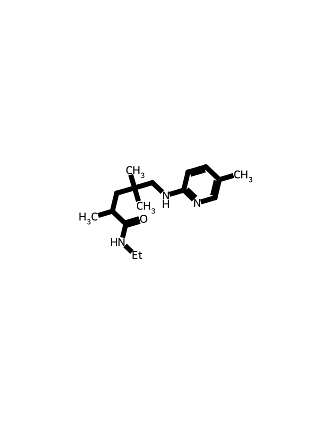 CCNC(=O)C(C)CC(C)(C)CNc1ccc(C)cn1